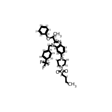 CCCCS(=O)(=O)N1CCN(c2ccc3nc(C(C)Oc4ccccc4)n(Cc4ccc(C(F)(F)F)cc4)c3c2)CC1